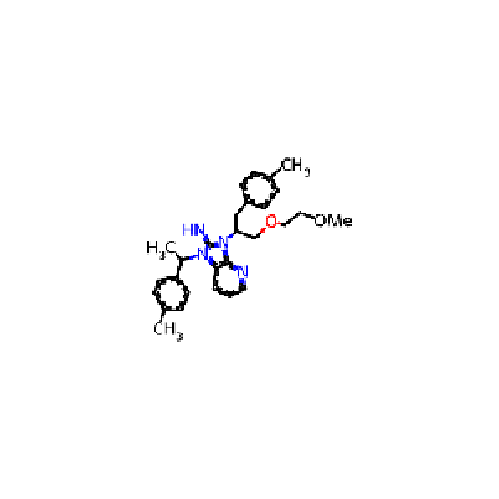 COCCOCC(Cc1ccc(C)cc1)n1c(=N)n(C(C)c2ccc(C)cc2)c2cccnc21